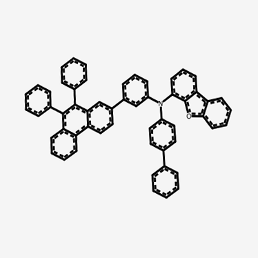 c1ccc(-c2ccc(N(c3cccc(-c4ccc5c(c4)c(-c4ccccc4)c(-c4ccccc4)c4ccccc45)c3)c3cccc4c3oc3ccccc34)cc2)cc1